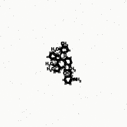 C=C1CC=CC2=C1N(C(=C)/C=C\c1ccccc1N)C(/C=C\C)=C(CC)c1c2n([C@@H]2NC=CC(C)C2C)c2ccccc12